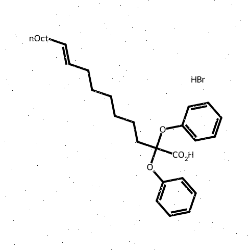 Br.CCCCCCCCC=CCCCCCCC(Oc1ccccc1)(Oc1ccccc1)C(=O)O